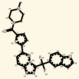 CN1CCN(C(=O)c2ccc(-c3ccc4nnc(C(F)(F)c5ccc6occc6c5)n4n3)s2)CC1